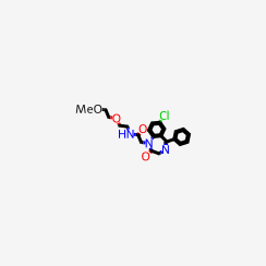 COCCOCCNC(=O)CN1C(=O)CN=C(c2ccccc2)c2cc(Cl)ccc21